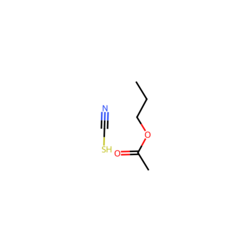 CCCOC(C)=O.N#CS